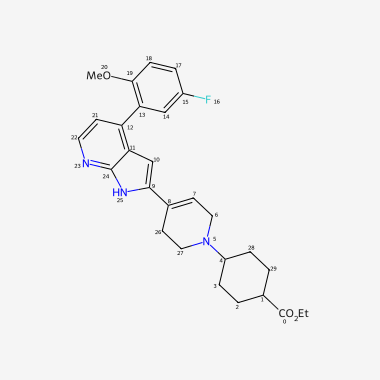 CCOC(=O)C1CCC(N2CC=C(c3cc4c(-c5cc(F)ccc5OC)ccnc4[nH]3)CC2)CC1